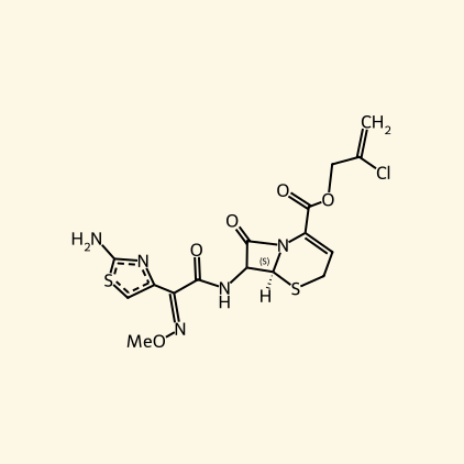 C=C(Cl)COC(=O)C1=CCS[C@H]2C(NC(=O)C(=NOC)c3csc(N)n3)C(=O)N12